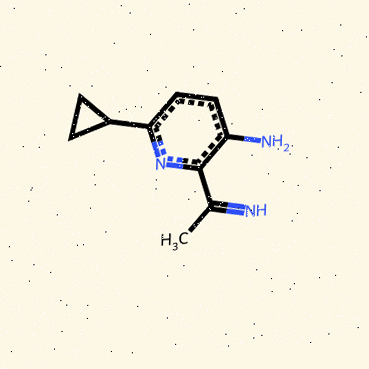 CC(=N)c1nc(C2CC2)ccc1N